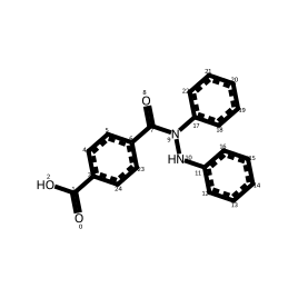 O=C(O)c1ccc(C(=O)N(Nc2ccccc2)c2ccccc2)cc1